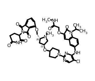 CNC(=O)COc1cc2cc(Nc3nc(N4CCC(O[C@H]5C[C@H](COc6cccc7c6C(=O)N(C6CCC(=O)NC6=O)C7=O)N(C)C5)CC4)ncc3Cl)ccc2n(C(C)C)c1=O